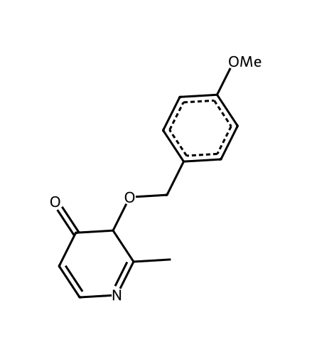 COc1ccc(COC2C(=O)C=CN=C2C)cc1